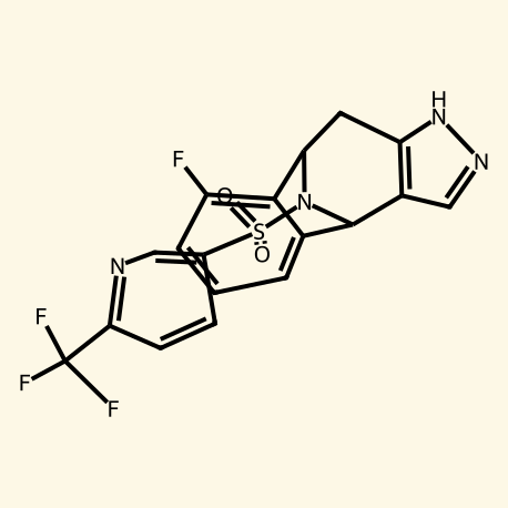 O=S(=O)(c1ccc(C(F)(F)F)nc1)N1C2Cc3[nH]ncc3C1c1cccc(F)c12